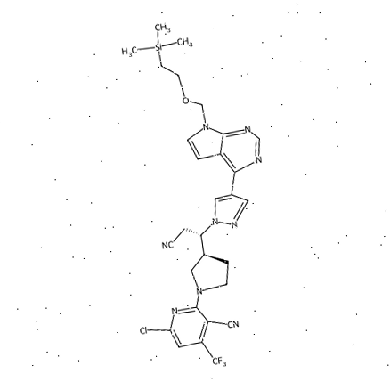 C[Si](C)(C)CCOCn1ccc2c(-c3cnn([C@@H](CC#N)[C@H]4CCN(c5nc(Cl)cc(C(F)(F)F)c5C#N)C4)c3)ncnc21